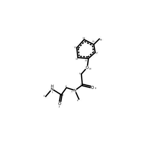 CNC(=O)CN(C)C(=O)COc1cccc(C)c1